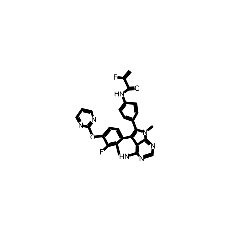 C=C(F)C(=O)Nc1ccc(-c2c3c4c(ncnc4n2C)NCc2c-3ccc(Oc3ncccn3)c2F)cc1